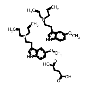 C=CCN(CC=C)CCc1c[nH]c2ccc(OC)cc12.C=CCN(CC=C)CCc1c[nH]c2ccc(OC)cc12.O=C(O)CCC(=O)O